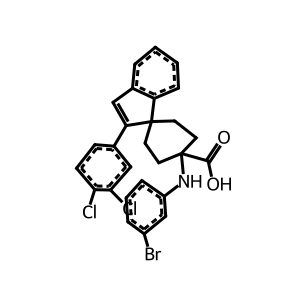 O=C(O)C1(Nc2cccc(Br)c2)CCC2(CC1)C(c1ccc(Cl)c(Cl)c1)=Cc1ccccc12